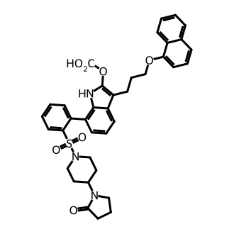 O=C(O)Oc1[nH]c2c(-c3ccccc3S(=O)(=O)N3CCC(N4CCCC4=O)CC3)cccc2c1CCCOc1cccc2ccccc12